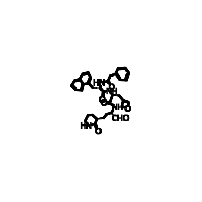 O=C[C@H](CC[C@@H]1CCCNC1=O)NC(=O)[C@H](CC1COC1)NC(=O)[C@H](Cc1cccc2ccccc12)NC(=O)Cc1ccccc1